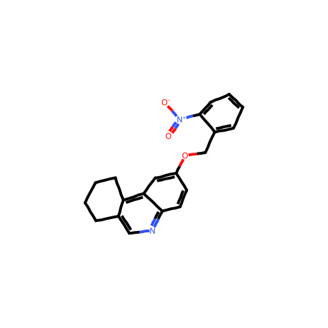 O=[N+]([O-])c1ccccc1COc1ccc2ncc3c(c2c1)CCCC3